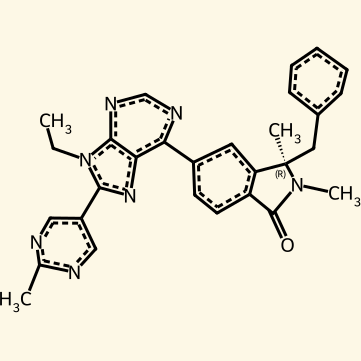 CCn1c(-c2cnc(C)nc2)nc2c(-c3ccc4c(c3)[C@@](C)(Cc3ccccc3)N(C)C4=O)ncnc21